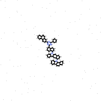 c1ccc(-c2nc(-c3ccc4c(ccc5ccccc54)c3)nc(-c3cccc4c(-n5c6ccccc6c6cc7c(-n8c9ccccc9c9ccc%10ccccc%10c98)cccc7cc65)cccc34)n2)cc1